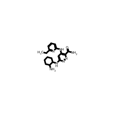 CCc1cccc(Nc2cc(NC3CCCCC3N)nnc2C(N)=O)n1